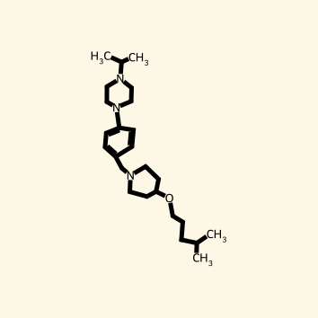 CC(C)CCCOC1CCN(Cc2ccc(N3CCN(C(C)C)CC3)cc2)CC1